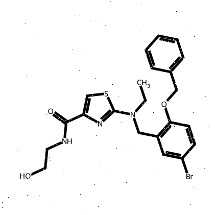 CCN(Cc1cc(Br)ccc1OCc1ccccc1)c1nc(C(=O)NCCO)cs1